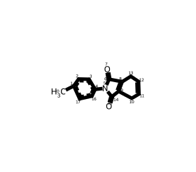 Cc1ccc(N2C(=O)C3=C(CC=CC3)C2=O)cc1